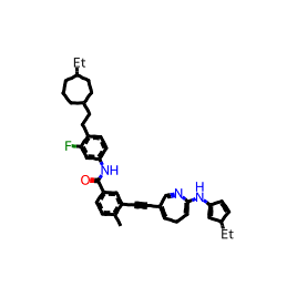 CCC1C=CC(NC2=CCC=C(C#Cc3cc(C(=O)Nc4ccc(CCC5CCCC(CC)CC5)c(F)c4)ccc3C)C=N2)=C1